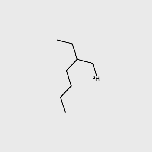 [2H]CC(CC)CCCC